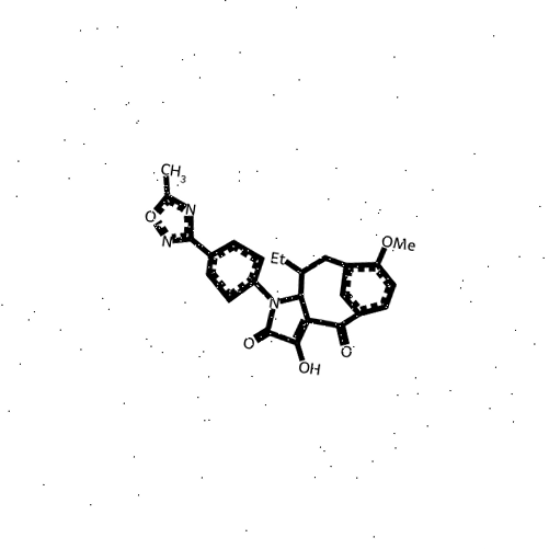 CCC1Cc2cc(ccc2OC)C(=O)C2=C(O)C(=O)N(c3ccc(-c4noc(C)n4)cc3)C21